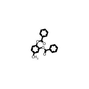 Cc1ccc(OC(=O)c2ccccc2)c(OC(=O)c2ccccc2)c1